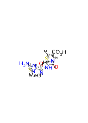 CON=C(C(=O)NC1C(=O)N2C=C(C(=O)O)C(C)S[C@H]12)c1nsc(N)n1